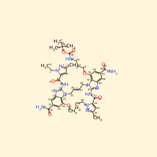 CCn1nc(C)cc1C(=O)Nc1nc2cc(C(N)=O)cc(OC)c2n1C/C=C/Cn1c(NC(=O)c2cc(C)nn2CC)nc2cc(C(N)=O)cc(OCCCNC(=O)OC(C)(C)C)c21